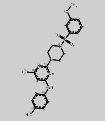 COc1cccc(S(=O)(=O)N2CCN(c3nc(C)cc(Nc4ccc(C)cc4)n3)CC2)c1